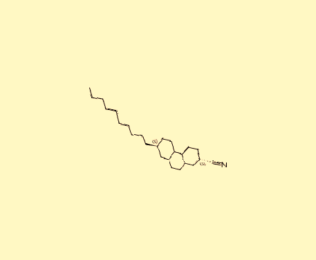 CCCCCCCCCC[C@H]1CCC2C(CCC3C[C@@H](C#N)CCC32)C1